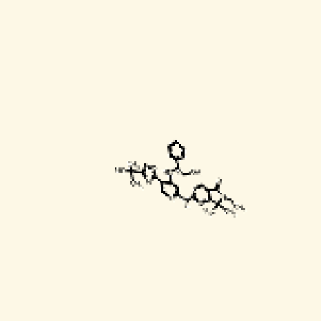 CCN1C(=O)c2cnc(Nc3cc(N[C@H](CO)c4ccccc4)c(-c4nc(C(C)(C)O)no4)cn3)nc2C1(C)C